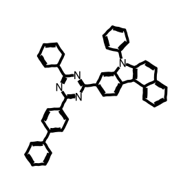 C1=CCC(c2nc(-c3ccc(-c4ccccc4)cc3)nc(-c3ccc4c5c6ccccc6ccc5n(-c5ccccc5)c4c3)n2)C=C1